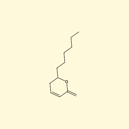 C=C1C=CCC(CCCCCC)O1